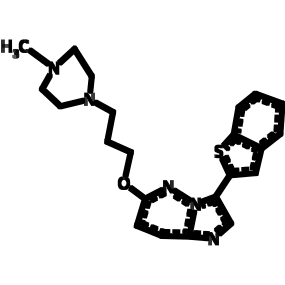 CN1CCN(CCCOc2ccc3ncc(-c4cc5ccccc5s4)n3n2)CC1